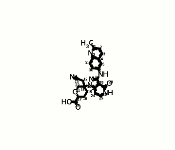 Cc1ccc2cc(Nc3nn(C4(CC#N)CCC(C(=O)O)OC4)c4cc[nH]c(=O)c34)ccc2n1